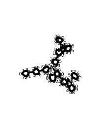 c1ccc(-c2ccc(-c3ccc(N(c4ccc(-c5ccc6c(c5)c5ccccc5n6-c5ccccc5)cc4)c4ccc(-c5ccc6c7ccccc7n(-c7ccccc7)c6c5)c5ccccc45)cc3)cc2)cc1